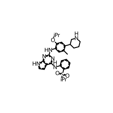 Cc1cc(Nc2nc(Nc3ccccc3S(=O)(=O)C(C)C)c3cc[nH]c3n2)c(OC(C)C)cc1C1CCCNC1